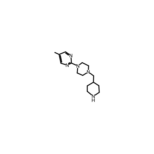 Cc1cnc(N2CCN(CC3CCNCC3)CC2)nc1